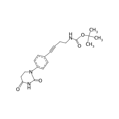 CC(C)(C)OC(=O)NCCC#Cc1ccc(N2CCC(=O)NC2=O)cc1